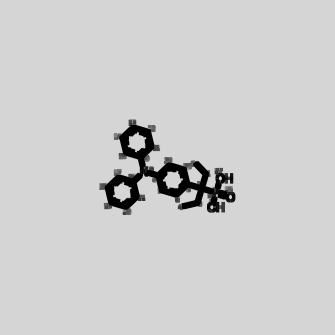 CCC(CC)(c1ccc(N(c2ccccc2)c2ccccc2)cc1)P(=O)(O)O